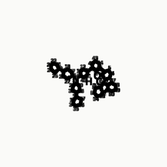 CC1(c2cccc3c2oc2c(-c4ccc(N(c5ccc(-c6ccccc6)cc5)c5ccc(-c6ccccc6)cc5)cc4)cccc23)c2ccccc2-c2ccccc21